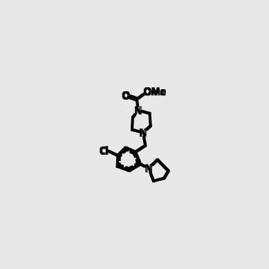 COC(=O)N1CCN(Cc2cc(Cl)ccc2N2CCCC2)CC1